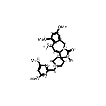 CCN1C(=O)N2Cc3cc(OC)cc(OC)c3[C@@H](C)C=C2C12CCN(Cc1nc(OC)cc(OC)n1)CC2